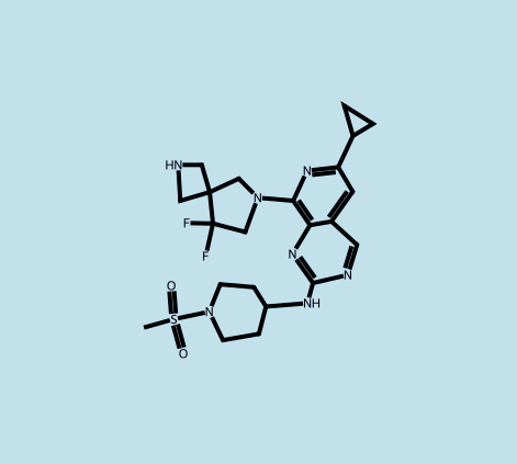 CS(=O)(=O)N1CCC(Nc2ncc3cc(C4CC4)nc(N4CC(F)(F)C5(CNC5)C4)c3n2)CC1